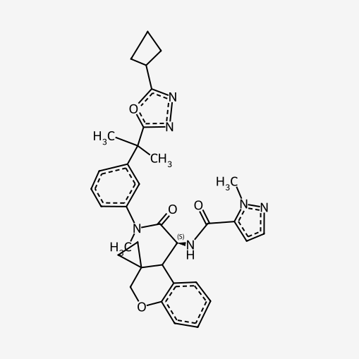 CN(C(=O)[C@@H](NC(=O)c1ccnn1C)C1c2ccccc2OCC12CC2)c1cccc(C(C)(C)c2nnc(C3CCC3)o2)c1